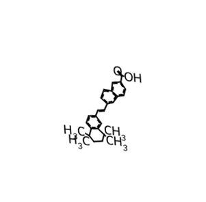 CC1(C)CCC(C)(C)c2cc(C=Cc3ccc4cc(C(=O)O)ccc4c3)ccc21